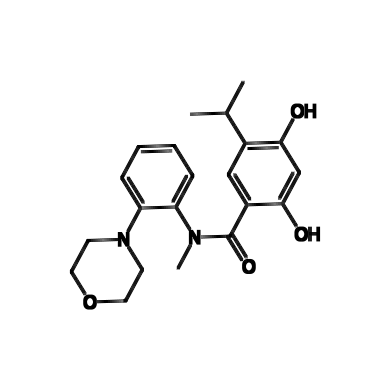 CC(C)c1cc(C(=O)N(C)c2ccccc2N2CCOCC2)c(O)cc1O